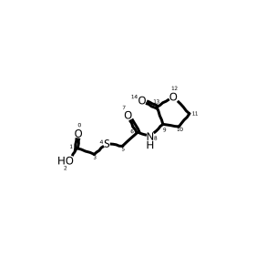 O=C(O)CSCC(=O)NC1CCOC1=O